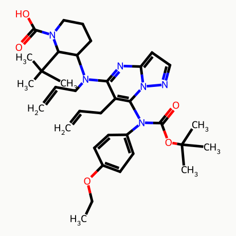 C=CCc1c(N(CC=C)C2CCCN(C(=O)O)C2C(C)(C)C)nc2ccnn2c1N(C(=O)OC(C)(C)C)c1ccc(OCC)cc1